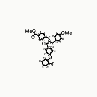 COC(=O)c1ccc(CN(Cc2ccc(OC)cc2)C(=O)c2ccc(Oc3ccccc3F)cc2)cc1